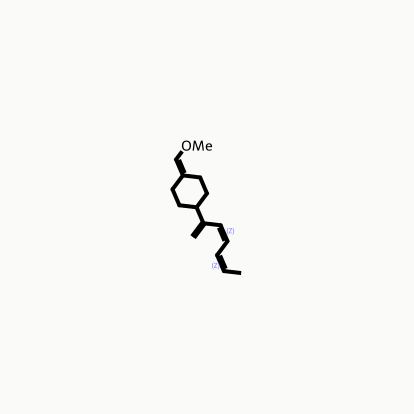 C=C(/C=C\C=C/C)C1CCC(=COC)CC1